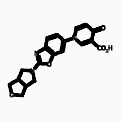 O=C(O)c1cn(-c2ccc3nc(N4CC5COCC5C4)oc3c2)ccc1=O